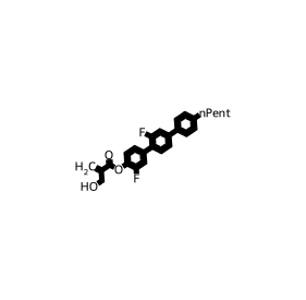 C=C(CO)C(=O)Oc1ccc(-c2ccc(-c3ccc(CCCCC)cc3)cc2F)cc1F